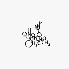 CC(=O)N1c2ccc(-c3cnn(C4CC4)c3)cc2N(C(=O)OC2(C3CCCCCCCC3)CNc3ccccc3C2)C[C@@H]1C